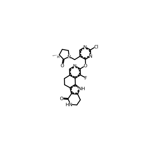 C[C@@H]1CCN(Cc2cnc(Cl)nc2Oc2ncc3c(c2F)-c2[nH]c4c(c2CC3)C(=O)NCC4)C1=O